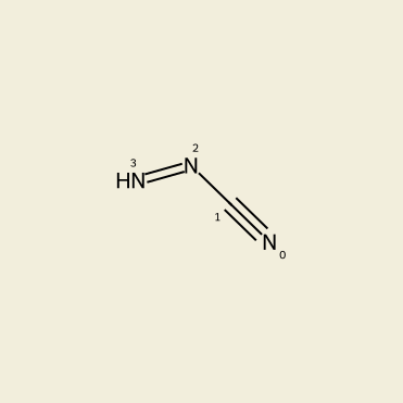 N#CN=N